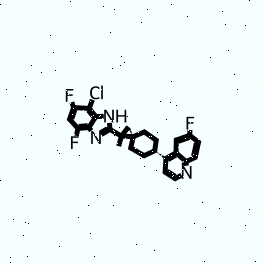 CC1(c2nc3c(F)cc(F)c(Cl)c3[nH]2)C[C@]12CC[C@@H](c1ccnc3ccc(F)cc31)CC2